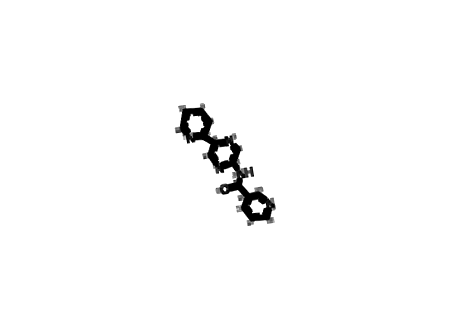 O=C(Nc1cnc(-c2ccccn2)cn1)c1cccnc1